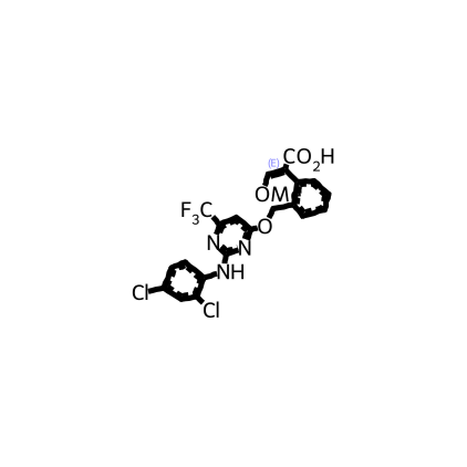 CO/C=C(/C(=O)O)c1ccccc1COc1cc(C(F)(F)F)nc(Nc2ccc(Cl)cc2Cl)n1